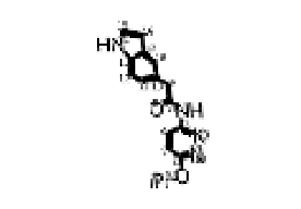 CC(C)Oc1ccc(NC(=O)Cc2ccc3[nH]ccc3c2)nn1